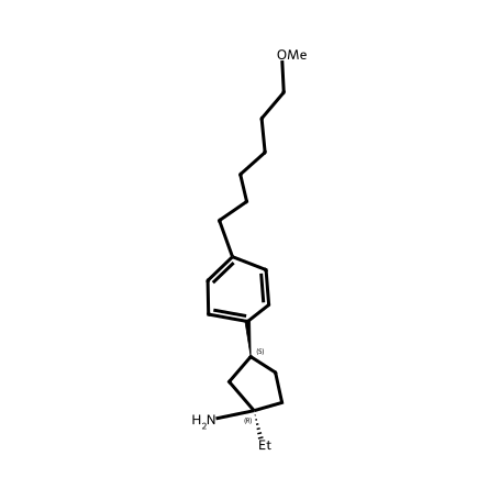 CC[C@@]1(N)CC[C@H](c2ccc(CCCCCCOC)cc2)C1